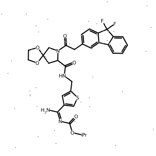 CC(C)OC(=O)/N=C(/N)c1csc(CNC(=O)C2CC3(CN2C(=O)Cc2ccc4c(c2)-c2ccccc2C4(F)F)OCCO3)c1